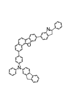 c1ccc(C2=Nc3cc(-c4ccc5c(c4)oc4c6cc(-c7ccc(N(c8ccccc8)c8ccc9c(c8)Cc8ccccc8-9)cc7)ccc6ccc54)ccc3C2)cc1